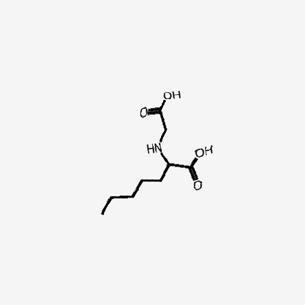 CCCCCC(NCC(=O)O)C(=O)O